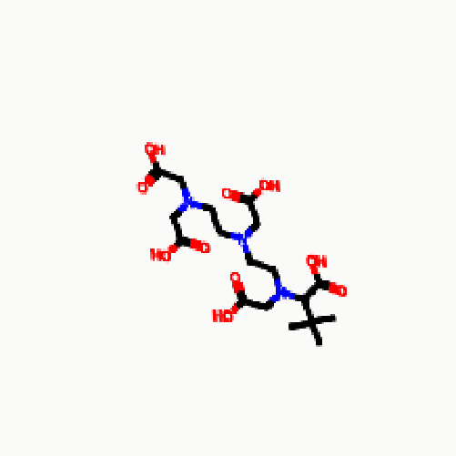 CC(C)(C)C(C(=O)O)N(CCN(CCN(CC(=O)O)CC(=O)O)CC(=O)O)CC(=O)O